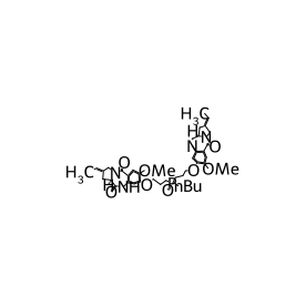 C/C=C1\C[C@H]2C=Nc3cc(OCCCP(=O)(CCCC)CCCOc4cc5c(cc4OC)C(=O)N4C/C(=C/C)C[C@H]4C(=O)N5)c(OC)cc3C(=O)N2C1